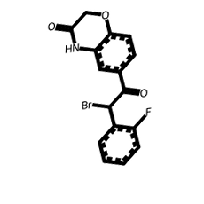 O=C1COc2ccc(C(=O)C(Br)c3ccccc3F)cc2N1